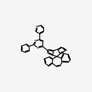 C1=Cc2ccccc2C2(c3ccccc31)c1ccccc1-c1cc(-c3cc(-c4cccnc4)nc(-c4ccccc4)n3)ccc12